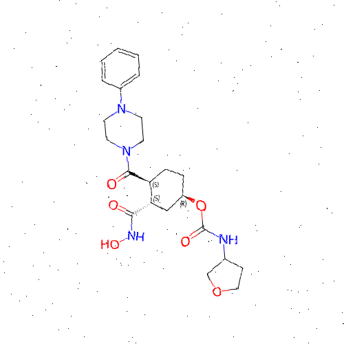 O=C(NC1CCOC1)O[C@@H]1CC[C@H](C(=O)N2CCN(c3ccccc3)CC2)[C@@H](C(=O)NO)C1